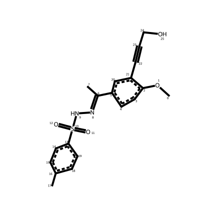 COc1ccc(C(C)=NNS(=O)(=O)c2ccc(C)cc2)cc1C#CCO